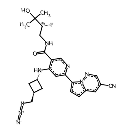 CC(C)(O)[C@H](F)CNC(=O)c1cnc(-c2ccc3cc(C#N)cnn23)cc1N[C@H]1C[C@H](CN=[N+]=[N-])C1